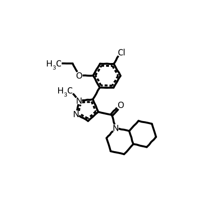 CCOc1cc(Cl)ccc1-c1c(C(=O)N2CCCC3CCCCC32)cnn1C